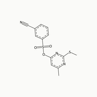 CSc1nc(C)cc(OS(=O)(=O)c2cccc(C#N)c2)n1